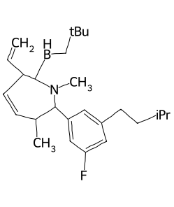 C=CC1C=CC(C)C(c2cc(F)cc(CCC(C)C)c2)N(C)C1BCC(C)(C)C